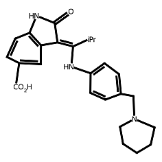 CC(C)C(Nc1ccc(CN2CCCCC2)cc1)=C1C(=O)Nc2ccc(C(=O)O)cc21